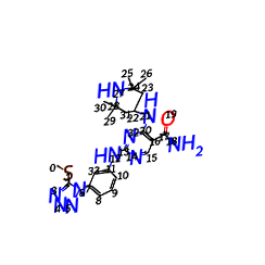 CSc1nnnn1-c1cccc(Nc2ncc(C(N)=O)c(NC3CC(C)(C)NC(C)(C)C3)n2)c1